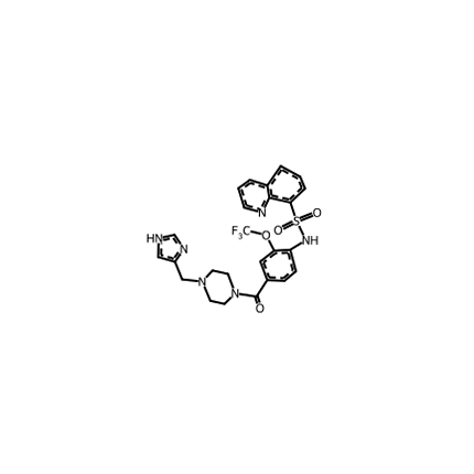 O=C(c1ccc(NS(=O)(=O)c2cccc3cccnc23)c(OC(F)(F)F)c1)N1CCN(Cc2c[nH]cn2)CC1